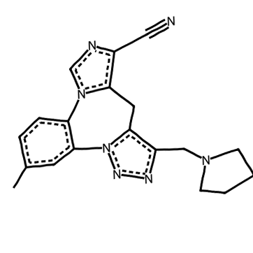 Cc1ccc2c(c1)-n1nnc(CN3CCCC3)c1Cc1c(C#N)ncn1-2